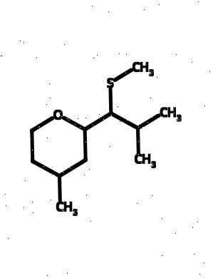 CSC(C(C)C)C1CC(C)CCO1